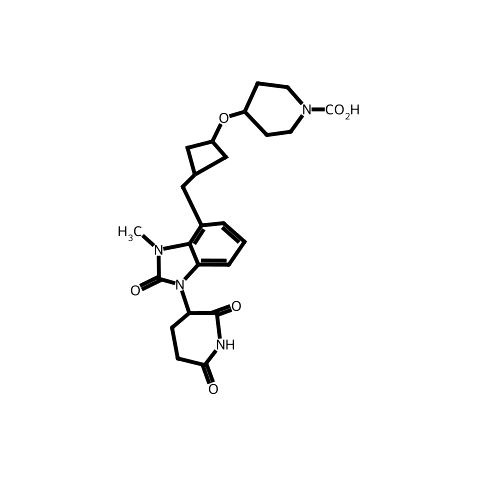 Cn1c(=O)n(C2CCC(=O)NC2=O)c2cccc(CC3CC(OC4CCN(C(=O)O)CC4)C3)c21